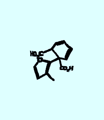 Cc1ccoc1C1(C(=O)O)C=CC=CC1C(=O)O